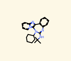 CC(C)(C)NC1=Nc2ccccc2-c2nc3ccccn3c2N1C1CCCCC1